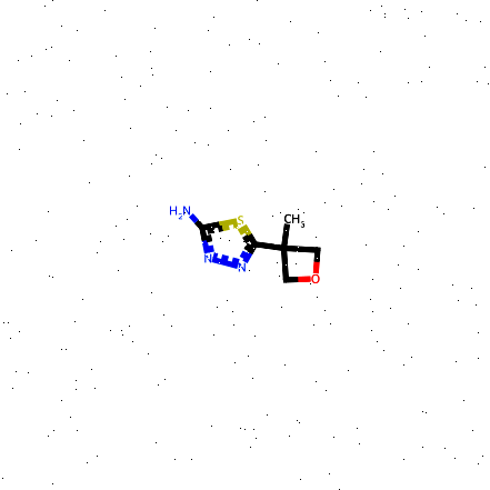 CC1(c2nnc(N)s2)COC1